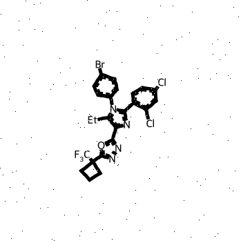 CCc1c(-c2nnc(C3(C(F)(F)F)CCC3)o2)nc(-c2ccc(Cl)cc2Cl)n1-c1ccc(Br)cc1